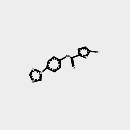 CC(=O)c1ccc(C(=O)Nc2ccc(-n3cncn3)cc2)s1